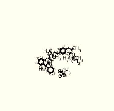 CN(Cc1ccc(CC[N+](C)(C)Cc2cnc([C@](O)(c3ccccc3)C3CCCCC3)o2)cc1)C(=O)OC(C)(C)C.CS(=O)(=O)[O-]